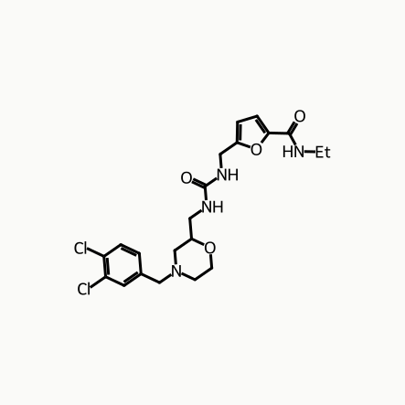 CCNC(=O)c1ccc(CNC(=O)NCC2CN(Cc3ccc(Cl)c(Cl)c3)CCO2)o1